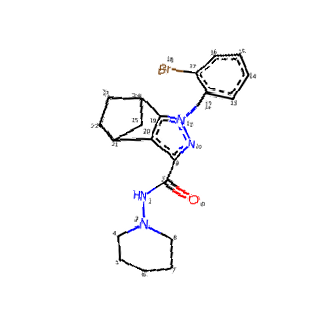 O=C(NN1CCCCC1)c1nn(-c2ccccc2Br)c2c1C1CCC2C1